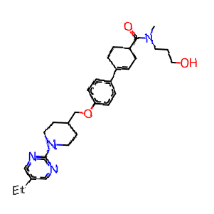 CCc1cnc(N2CCC(COc3ccc(C4=CCC(C(=O)N(C)CCCO)CC4)cc3)CC2)nc1